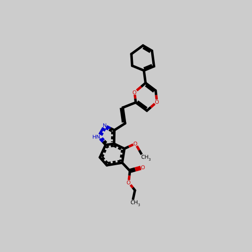 CCOC(=O)c1ccc2[nH]nc(C=CC3=COC=C(C4=CC=CCC4)O3)c2c1OC